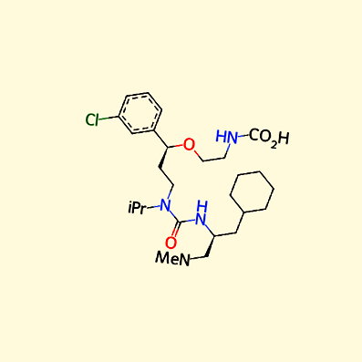 CNC[C@H](CC1CCCCC1)NC(=O)N(CC[C@H](OCCNC(=O)O)c1cccc(Cl)c1)C(C)C